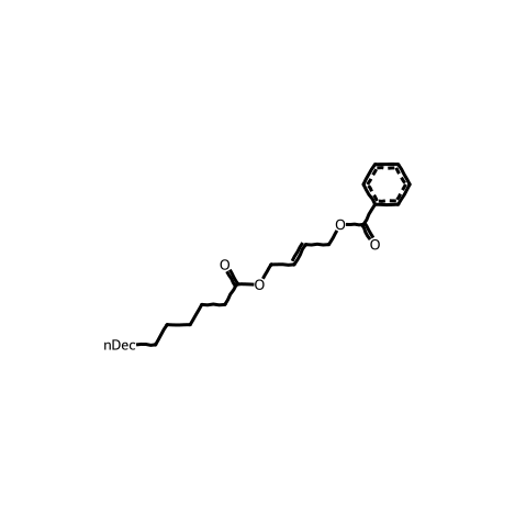 CCCCCCCCCCCCCCCC(=O)OC/C=C/COC(=O)c1ccccc1